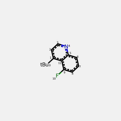 CC(C)(C)c1ccnc2cccc(F)c12